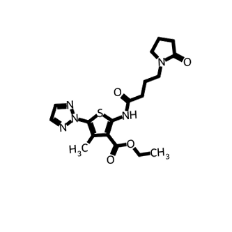 CCOC(=O)c1c(NC(=O)CCCN2CCCC2=O)sc(-n2nccn2)c1C